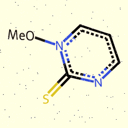 COn1cccnc1=S